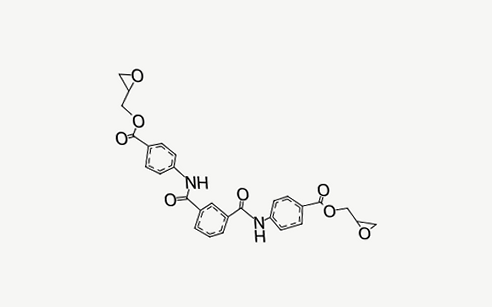 O=C(Nc1ccc(C(=O)OCC2CO2)cc1)c1cccc(C(=O)Nc2ccc(C(=O)OCC3CO3)cc2)c1